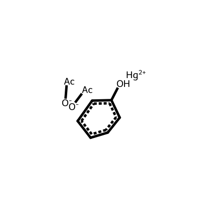 CC(=O)[O-].CC(=O)[O-].Oc1ccccc1.[Hg+2]